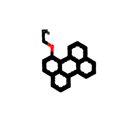 CCOc1ccc2cccc3c4cccc5cccc(c1c23)c54